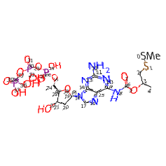 CSSCC(C)OC(=O)Nc1nc(N)nc2c1ncn2[C@H]1CC(O)[C@@H](COP(=O)(O)OP(=O)(O)OP(=O)(O)O)O1